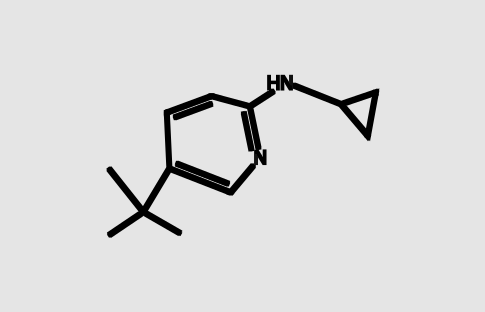 CC(C)(C)c1ccc(NC2CC2)nc1